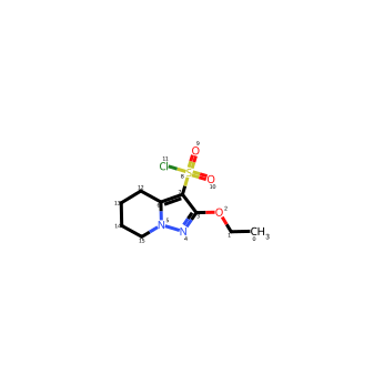 CCOc1nn2c(c1S(=O)(=O)Cl)CCCC2